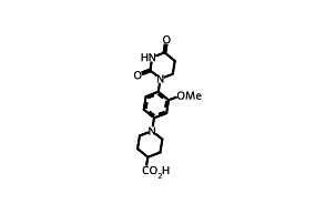 COc1cc(N2CCC(C(=O)O)CC2)ccc1N1CCC(=O)NC1=O